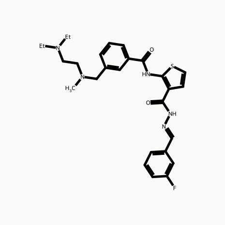 CCN(CC)CCN(C)Cc1cccc(C(=O)Nc2sccc2C(=O)NN=Cc2cccc(F)c2)c1